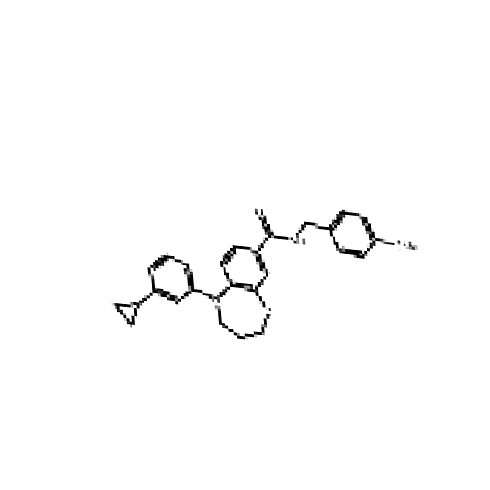 CSc1ccc(CNC(=O)c2ccc3c(c2)OCCCN3c2cccc(C3CC3)c2)cc1